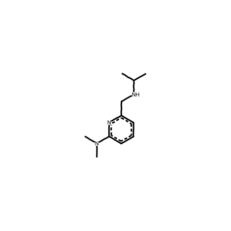 CC(C)NCc1cccc(N(C)C)n1